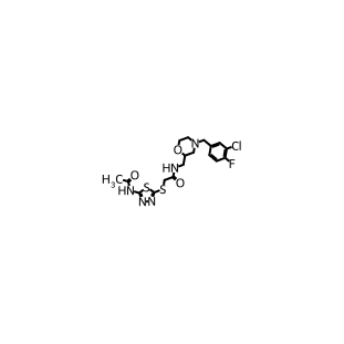 CC(=O)Nc1nnc(SCC(=O)NCC2CN(Cc3ccc(F)c(Cl)c3)CCO2)s1